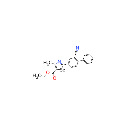 CCOC(=O)c1[se]c(-c2ccc(-c3ccccc3)c(C#N)c2)nc1C